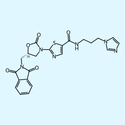 O=C(NCCCn1ccnc1)c1cnc(N2C[C@H](CN3C(=O)c4ccccc4C3=O)OC2=O)s1